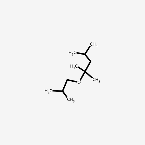 CC(C)COC(C)(C)CC(C)C